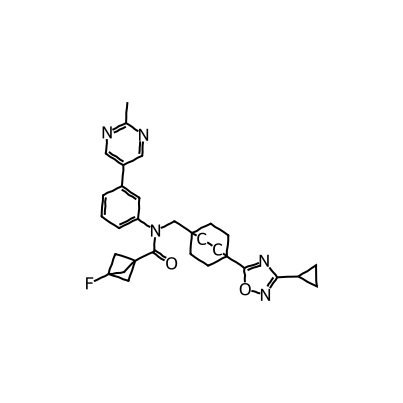 Cc1ncc(-c2cccc(N(CC34CCC(c5nc(C6CC6)no5)(CC3)CC4)C(=O)C34CC(F)(C3)C4)c2)cn1